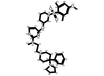 COc1cc(C)c(S(=O)(=O)N2CCCC(Oc3ccnc(N(C)CCN4CCC(c5ccccc5)(N5CCCC5)CC4)n3)C2)c(C)c1